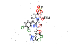 Cn1ncc(Cl)c1-c1cc(C(=O)N[C@@H]2CN(C(=O)OC(C)(C)C)C(CCOS(C)(=O)=O)C[C@H]2c2ccc(Cl)c(Cl)c2)oc1Cl